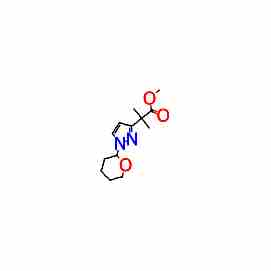 COC(=O)C(C)(C)c1ccn(C2CCCCO2)n1